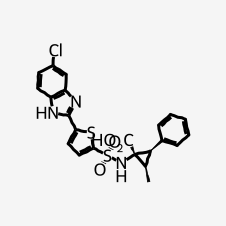 C[C@@H]1[C@H](c2ccccc2)[C@]1(NS(=O)(=O)c1ccc(-c2nc3cc(Cl)ccc3[nH]2)s1)C(=O)O